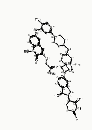 CNC(=O)COc1cc2cc(Nc3cc(N4CCC(CN5CCC6(CN(c7ccc8c(c7)CN(C7CCC(=O)NC7=O)C8=O)C6)C(F)(F)C5)CC4)ncc3Cl)ccc2n(C(C)C)c1=O